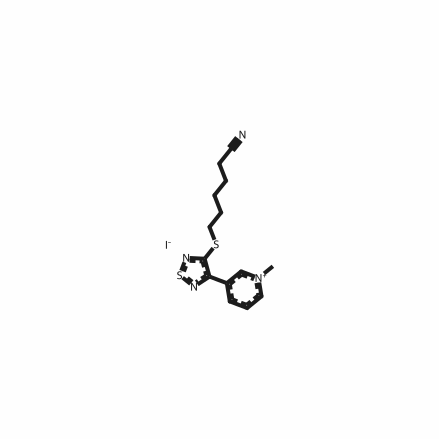 C[n+]1cccc(-c2nsnc2SCCCCCC#N)c1.[I-]